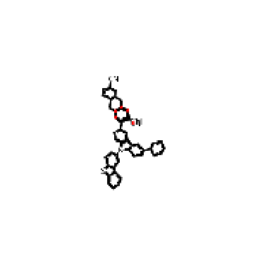 N#Cc1ccc2c(c1)C1c3cc(C#N)ccc3C2c2cc(-c3ccc4c(c3)c3cc(-c5ccccc5)ccc3n4-c3ccc4sc5ccccc5c4c3)c(C#N)cc21